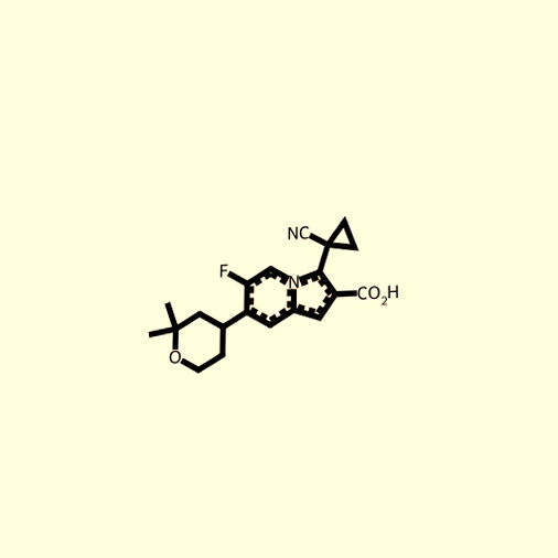 CC1(C)CC(c2cc3cc(C(=O)O)c(C4(C#N)CC4)n3cc2F)CCO1